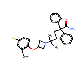 COc1cc(F)ccc1OC1CN(C(C)(C)CCC(C(N)=O)(c2ccccc2)c2ccccc2)C1